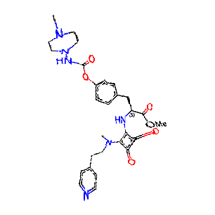 COC(=O)[C@H](Cc1ccc(OC(=O)NN2CCN(C)CC2)cc1)Nc1c(N(C)CCc2ccncc2)c(=O)c1=O